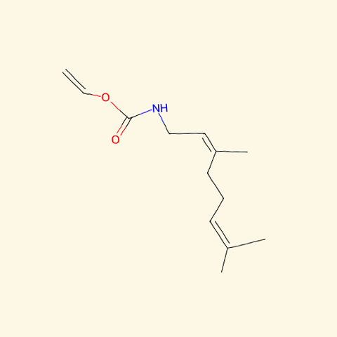 C=COC(=O)NC/C=C(/C)CCC=C(C)C